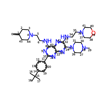 C=C1CCN(CCNc2nc(-c3ccc(C(C)(C)C)cc3)nc3nc(N4CCN(C)CC4)c(NCCN4CCOCC4)nc23)CC1